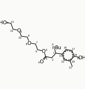 CCCCC(CC(=O)OCCOCCOCCO)c1ccc(O)c(C)c1